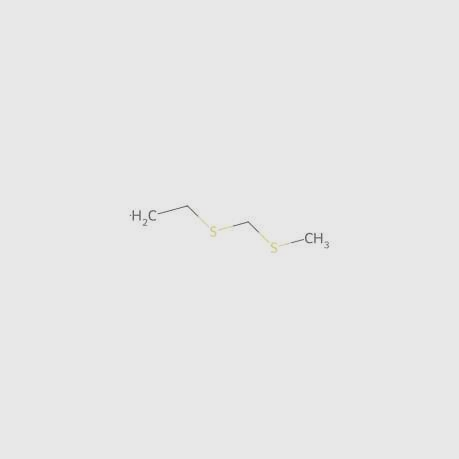 [CH2]CSCSC